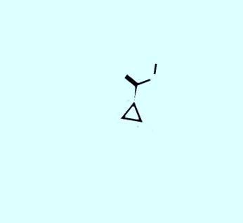 CCOC(=O)[C@@H]1C[C@H]1C(=O)O.Cl